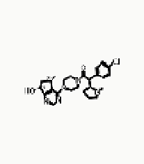 C[C@@H]1C[C@@H](O)c2ncnc(N3CCN(C(=O)C(c4ccc(Cl)cc4)C4CCCN4C)CC3)c21